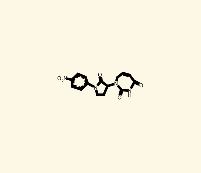 O=C1C=CCN(C2CCN(c3ccc([N+](=O)[O-])cc3)C2=O)C(=O)N1